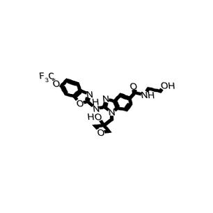 O=C(NCCO)c1ccc2c(c1)nc(Nc1nc3ccc(OC(F)(F)F)cc3o1)n2CC1(O)COC1